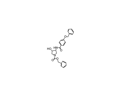 O=C(NC1CN(C(=O)OCc2ccccc2)CC1O)c1ccc(OCc2ccccc2)cc1